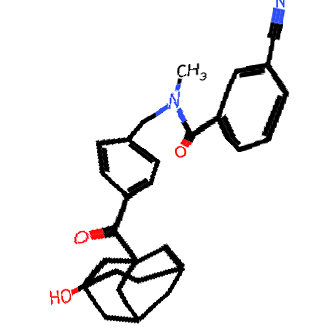 CN(Cc1ccc(C(=O)C23CC4CC(CC(O)(C4)C2)C3)cc1)C(=O)c1cccc(C#N)c1